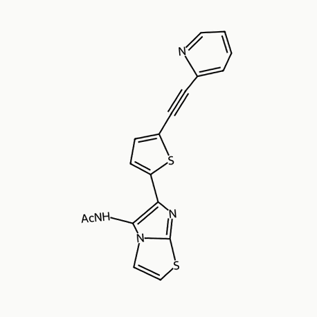 CC(=O)Nc1c(-c2ccc(C#Cc3ccccn3)s2)nc2sccn12